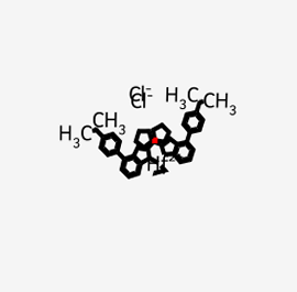 CC(C)c1ccc(-c2cccc3c2C=C(C2CCCC2)[CH]3[Hf+2]2([CH]3C(C4CCCC4)=Cc4c(-c5ccc(C(C)C)cc5)cccc43)[CH2][CH2]2)cc1.[Cl-].[Cl-]